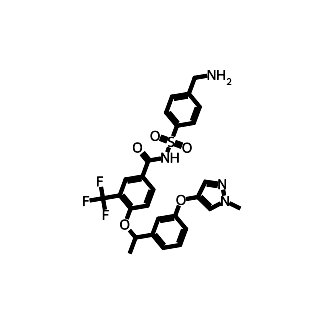 CC(Oc1ccc(C(=O)NS(=O)(=O)c2ccc(CN)cc2)cc1C(F)(F)F)c1cccc(Oc2cnn(C)c2)c1